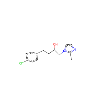 Cc1nccn1CC(O)CCc1ccc(Cl)cc1